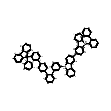 c1ccc(-c2ccccc2-n2c3ccccc3c3cc(-c4ccc5c(c4)c4ccccc4n5-c4cccc(-c5ccccc5-c5ccc(-c6cccc(C7(c8ccccc8)c8ccccc8-c8ccccc87)c6)cc5)c4)ccc32)cc1